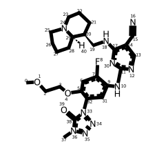 COCCOc1cc(F)c(Nc2ncc(C#N)c(NC[C@@H]3CCCN4CCCC[C@H]34)n2)cc1-n1nnn(C)c1=O